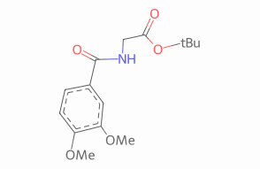 COc1ccc(C(=O)NCC(=O)OC(C)(C)C)cc1OC